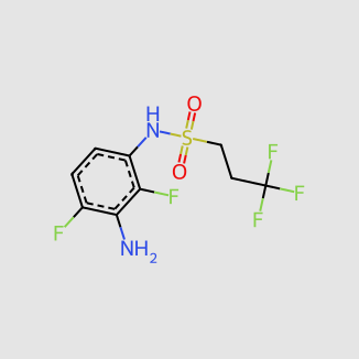 Nc1c(F)ccc(NS(=O)(=O)CCC(F)(F)F)c1F